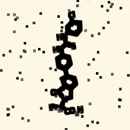 CC(C)[C@@H](C(=O)O)N1Cc2ccc(-c3ccc(NC(=S)Nc4cccc(Cl)c4)cc3)cc2C1=O